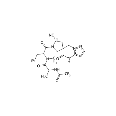 CC(C)CC(C(=O)N1CC2(C[C@H]1C#N)Cn1nccc1NC2=O)N(C)C(=O)C(C)NC(=O)C(F)(F)F